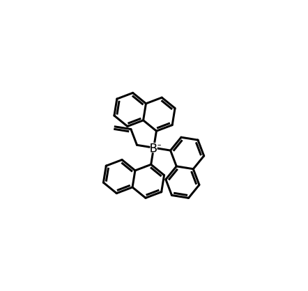 C=CC[B-](c1cccc2ccccc12)(c1cccc2ccccc12)c1cccc2ccccc12